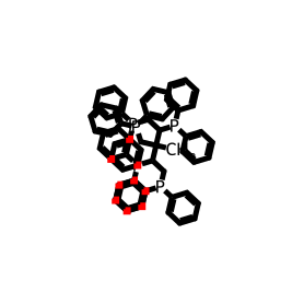 CC(CP(c1ccccc1)c1ccccc1)(C(CP(c1ccccc1)c1ccccc1)P(c1ccccc1)c1ccccc1)C(CP(c1ccccc1)c1ccccc1)P(c1ccccc1)c1ccccc1